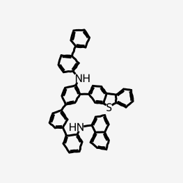 c1ccc(-c2cccc(Nc3ccc(-c4cccc(-c5ccccc5Nc5cccc6ccccc56)c4)cc3-c3ccc4c(c3)sc3ccccc34)c2)cc1